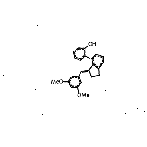 COc1cc(/C=C2\CCc3cccc(-c4ccccc4O)c32)cc(OC)c1